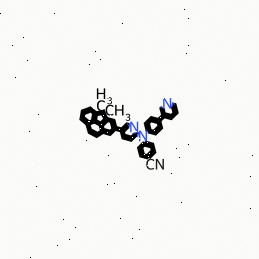 CC1(C)c2cccc3ccc4cc(-c5ccc(N(c6ccc(C#N)cc6)c6ccc(-c7cccnc7)cc6)nc5)cc1c4c23